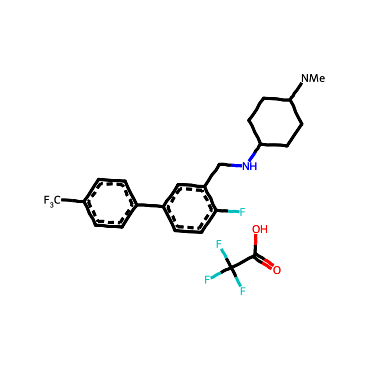 CNC1CCC(NCc2cc(-c3ccc(C(F)(F)F)cc3)ccc2F)CC1.O=C(O)C(F)(F)F